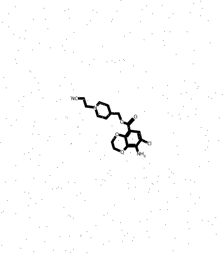 N#CCCN1CCC(COC(=O)c2cc(Cl)c(N)c3c2OCCO3)CC1